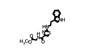 COC(=O)CNC(=O)c1csc(NCCc2c[nH]c3ccccc23)n1